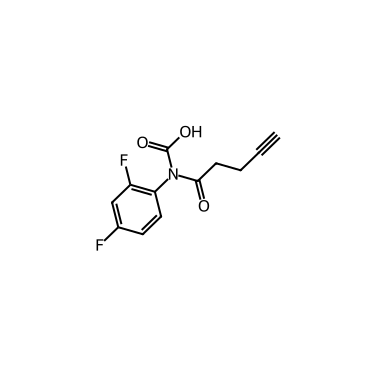 C#CCCC(=O)N(C(=O)O)c1ccc(F)cc1F